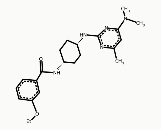 CCOc1cccc(C(=O)N[C@H]2CC[C@@H](Nc3nc(C)cc(N(C)C)n3)CC2)c1